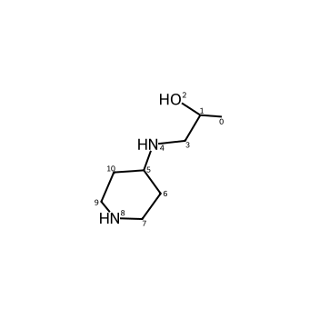 CC(O)CNC1CCNCC1